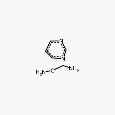 NCCN.c1cncnc1